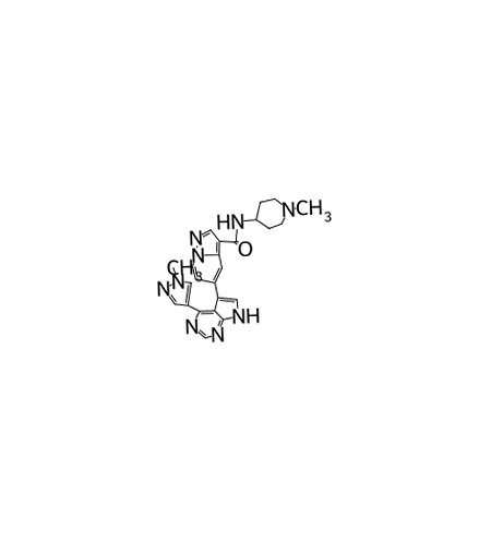 CN1CCC(NC(=O)c2cnn3ccc(-c4c[nH]c5ncnc(-c6cnn(C)c6)c45)cc23)CC1